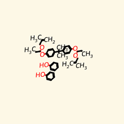 C=C(C)COC(CC)Oc1ccc(C(C)(C)c2ccc(OC(CC)OCC(=C)C)cc2)cc1.Oc1ccccc1.Oc1ccccc1